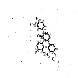 CSc1ccc(-c2cnn(-c3ccc(F)c(Cl)c3)c(=O)c2-c2ccc(F)c(C)c2)cc1